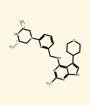 Cc1nc(NCc2cccc(N3C[C@@H](C)N[C@@H](C)C3)n2)c2c(C3CCOCC3)c[nH]c2n1